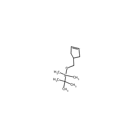 CC(C)(C)[Si](C)(C)OCC1C[C]=CC1